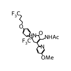 COc1ccc(C2=C(CNC(C)=O)C(=O)N[C@@](c3ccc(OCCCC(F)(F)F)cc3)(C(F)(F)F)C2)nc1